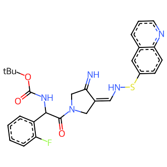 CC(C)(C)OC(=O)NC(C(=O)N1CC(=N)/C(=C\NSc2ccc3ncccc3c2)C1)c1ccccc1F